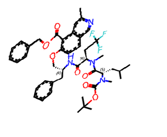 Cc1cc2c(C(=O)OCc3ccccc3)c(OC[C@@H](Cc3ccccc3)NC(=O)[C@@H](CC(F)(F)F)N(C)C(=O)[C@H](CC(C)C)N(C)C(=O)OC(C)(C)C)ccc2cn1